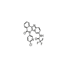 O=C(Nc1ccc2nc3c4ccccc4c(=O)n(-c4ccc(Cl)nc4)c3n2c1)C(F)(F)F